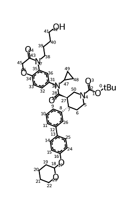 CC(C)(C)OC(=O)N1CC[C@H](c2cccc(-c3ccc(OC4CCCCO4)cc3)c2)[C@@H](C(=O)N(c2ccc3c(c2)N(CCCCO)C(=O)CO3)C2CC2)C1